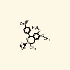 COc1cc2c(cc1OC)C(c1ccc([N+](=O)[O-])cc1)=NN(c1nnco1)C(C)C2